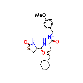 COc1ccc(CNC(=O)[C@H](CSCC2CCCCC2)NC(=O)[C@@H]2CSC(=O)N2)cc1